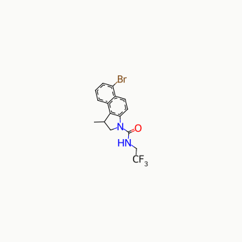 CC1CN(C(=O)NCC(F)(F)F)c2ccc3c(Br)cccc3c21